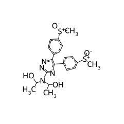 CC(O)N(c1nnc(-c2ccc([S+](C)[O-])cc2)c(-c2ccc([S+](C)[O-])cc2)n1)C(C)O